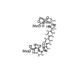 COC(=O)N[C@H](C(=O)NC1(c2ncc(-c3ccc(-c4ccc(-c5cnc([C@@H]6CCCN6C(=O)[C@@H](NC(=O)OC)C(C)C)[nH]5)cc4)cc3)[nH]2)CC1)C(C)C